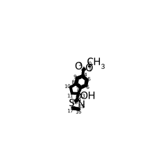 COC(=O)c1ccc2c(c1)CC[C@]2(O)c1nccs1